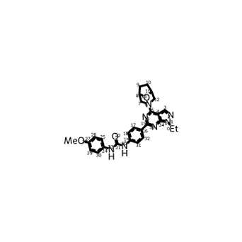 CCn1ncc2c(N3CC4CCC(C3)O4)nc(-c3ccc(NC(=O)Nc4ccc(OC)cc4)cc3)nc21